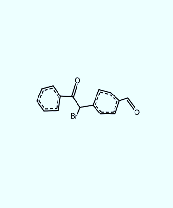 O=Cc1ccc(C(Br)C(=O)c2ccccc2)cc1